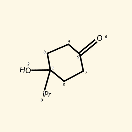 CC(C)C1(O)CCC(=O)CC1